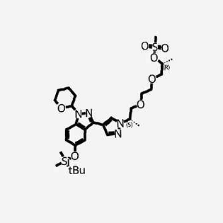 C[C@H](COCCOC[C@H](C)n1cc(-c2nn(C3CCCCO3)c3ccc(O[Si](C)(C)C(C)(C)C)cc23)cn1)OS(C)(=O)=O